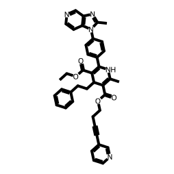 CCOC(=O)C1=C(c2ccc(-n3c(C)nc4cnccc43)cc2)NC(C)=C(C(=O)OCCC#Cc2cccnc2)C1CCc1ccccc1